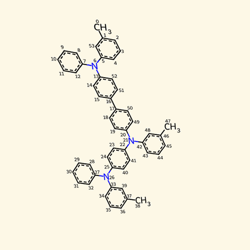 Cc1cccc(N(c2ccccc2)c2ccc(-c3ccc(N(c4ccc(N(c5ccccc5)c5cccc(C)c5)cc4)c4cccc(C)c4)cc3)cc2)c1